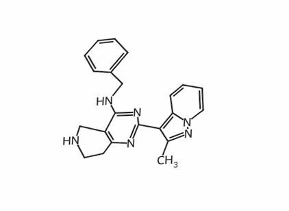 Cc1nn2ccccc2c1-c1nc2c(c(NCc3ccccc3)n1)CNCC2